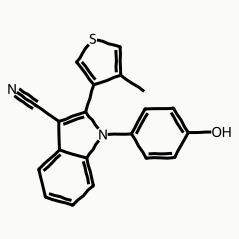 Cc1cscc1-c1c(C#N)c2ccccc2n1-c1ccc(O)cc1